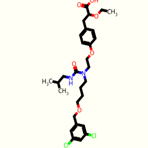 CCOC(Cc1ccc(OCCN(CCCCOCc2cc(Cl)cc(Cl)c2)C(=O)NCC(C)C)cc1)C(=O)O